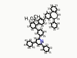 CC1(C)c2cc(-c3ccc4c(c3)C(c3ccccc3)CCc3ccccc3-4)ccc2-c2c(-c3cccc(-c4cc(-c5ccccc5)cc(-c5ccccc5)n4)c3)cccc21